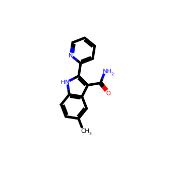 Cc1c[c]c2[nH]c(-c3ccccn3)c(C(N)=O)c2c1